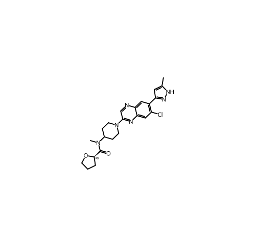 Cc1cc(-c2cc3ncc(N4CCC(N(C)C(=O)[C@H]5CCCO5)CC4)nc3cc2Cl)n[nH]1